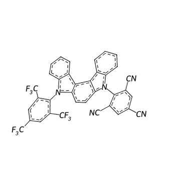 N#Cc1cc(C#N)c(-n2c3ccccc3c3c4c5ccccc5n(-c5c(C(F)(F)F)cc(C(F)(F)F)cc5C(F)(F)F)c4ccc32)c(C#N)c1